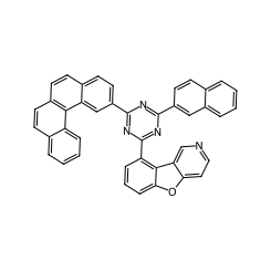 c1ccc2cc(-c3nc(-c4ccc5ccc6ccc7ccccc7c6c5c4)nc(-c4cccc5oc6ccncc6c45)n3)ccc2c1